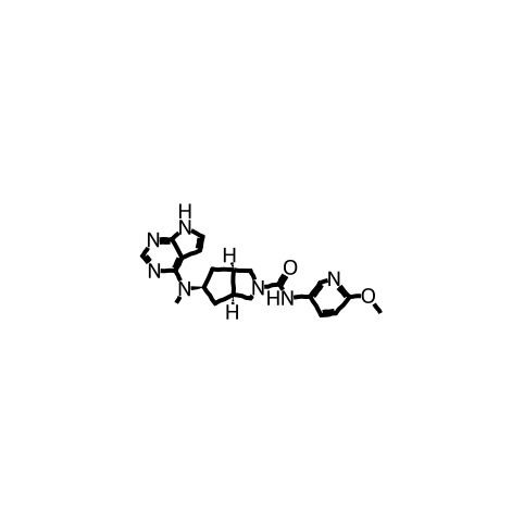 COc1ccc(NC(=O)N2C[C@H]3C[C@@H](N(C)c4ncnc5[nH]ccc45)C[C@H]3C2)cn1